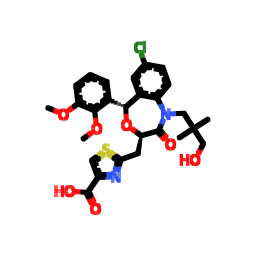 COc1cccc([C@H]2O[C@H](Cc3nc(C(=O)O)cs3)C(=O)N(CC(C)(C)CO)c3ccc(Cl)cc32)c1OC